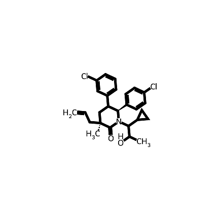 C=CC[C@@]1(C)CC(c2cccc(Cl)c2)[C@@H](c2ccc(Cl)cc2)N(C(C(C)O)C2CC2)C1=O